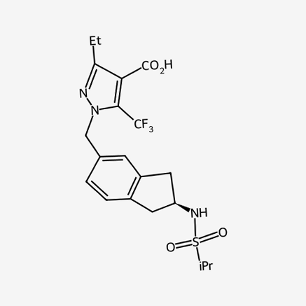 CCc1nn(Cc2ccc3c(c2)C[C@@H](NS(=O)(=O)C(C)C)C3)c(C(F)(F)F)c1C(=O)O